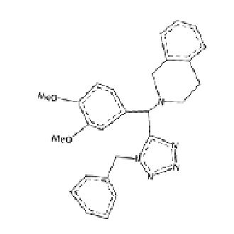 COc1ccc(C(c2nnnn2Cc2ccccc2)N2CCc3ccccc3C2)cc1OC